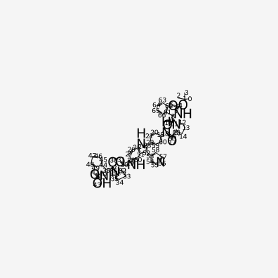 CC(C)(C)OC(=O)NC(C(=O)N1CCC[C@H]1C(=O)Nc1ccc(-c2[nH]c3ccc(NC(=O)[C@@H]4CCCN4C(=O)C(NC(=O)O)c4ccccc4)cc3c2-c2ccncc2)cc1)c1ccccc1